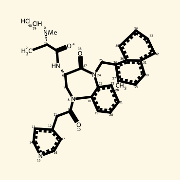 CN[C@@H](C)C(=O)N[C@H]1CN(C(=O)Cc2ccncc2)c2ccccc2N(Cc2c(C)ccc3ccccc23)C1=O.Cl.Cl